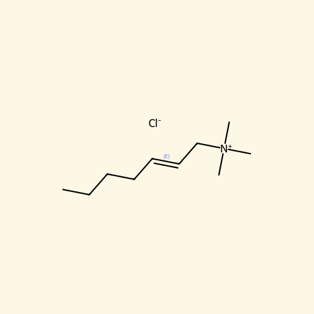 CCCC/C=C/C[N+](C)(C)C.[Cl-]